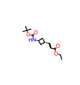 CCOC(=O)/C=C/[C@H]1C[C@@H](NC(=O)OC(C)(C)C)C1